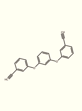 C#Cc1cccc(Oc2cccc(Oc3cccc(C#C)c3)c2)c1